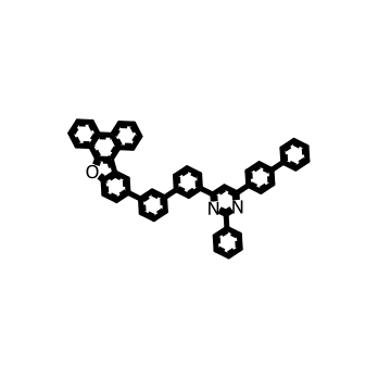 c1ccc(-c2ccc(-c3cc(-c4cccc(-c5cccc(-c6ccc7oc8c9ccccc9c9ccccc9c8c7c6)c5)c4)nc(-c4ccccc4)n3)cc2)cc1